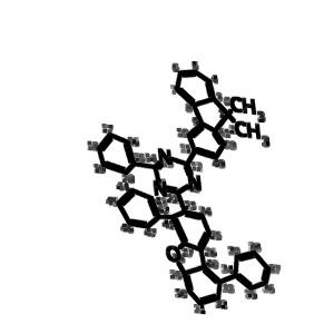 CC1(C)c2ccccc2-c2cc(-c3nc(-c4ccccc4)nc(-c4ccc5c(oc6cccc(-c7ccccc7)c65)c4-c4ccccc4)n3)ccc21